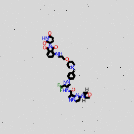 O=C1CCC(N2C(=O)c3cccc(NCCCOC4CCN(Cc5ccc(-n6cc(NC(=O)c7cnn8ccc(N9C[C@H]%10C[C@@H]9CO%10)nc78)c(C(F)F)n6)cc5)CC4)c3C2=O)C(=O)N1